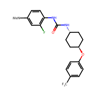 CNc1ccc(NC(=O)N[C@H]2CC[C@H](Oc3ccc(C(F)(F)F)cc3)CC2)c(F)c1